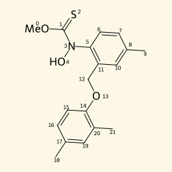 COC(=S)N(O)c1ccc(C)cc1COc1ccc(C)cc1C